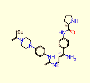 C=C(/N=C\C=C(/N)c1ccc(NC(=O)[C@H]2CCCN2)cc1)Nc1ccc(N2CCN(C(=C)C(C)(C)C)CC2)cc1